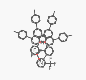 Cc1ccc(-c2ccc3c(c2)c2cc(-c4ccc(C)cc4)ccc2n3-c2cccc(C#N)c2-c2c(-c3c(C(F)(F)F)cccc3C(F)(F)F)cccc2-n2c3ccc(-c4ccc(C)cc4)cc3c3cc(-c4ccc(C)cc4)ccc32)cc1